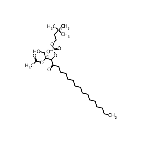 CCCCCCCCCCCCCCCC(=O)C(OP(=O)([O-])OCC[N+](C)(C)C)[C@H](CO)OC(C)=O